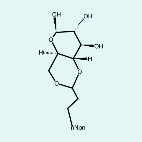 CCCCCCCCCCCC1OC[C@H]2O[C@@H](O)[C@H](O)[C@@H](O)[C@@H]2O1